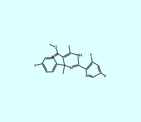 COC(=O)C1=C(C)NC(c2ncc(F)cc2F)=NC1(C)c1ccc(F)cc1